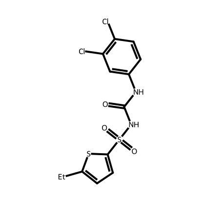 CCc1ccc(S(=O)(=O)NC(=O)Nc2ccc(Cl)c(Cl)c2)s1